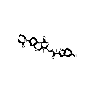 O=C(NC[C@@H]1OC(=O)N2c3ccc(N4CCOCC4=O)cc3OC[C@@H]12)c1cc2cc(Cl)ccc2s1